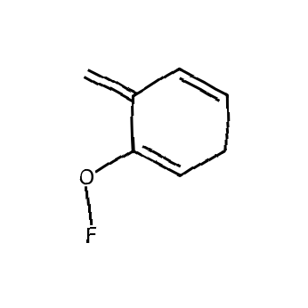 C=C1C=CCC=C1OF